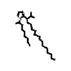 CCCCCCCCCCCCCCC(c1nccn1C(C)CCCCCCC)C(C)C